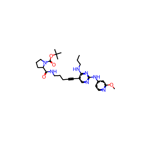 CCCNc1nc(Nc2ccnc(OC)c2)ncc1C#CCCCNC(=O)C1CCCN1C(=O)OC(C)(C)C